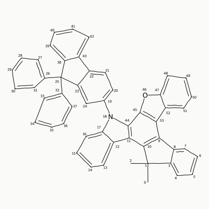 CC1(C)c2ccccc2-c2c1c1c3ccccc3n(-c3ccc4c(c3)C(c3ccccc3)(c3ccccc3)c3ccccc3-4)c1c1oc3ccccc3c21